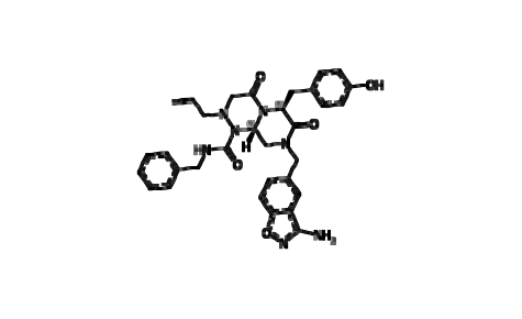 C=CCN1CC(=O)N2[C@@H](Cc3ccc(O)cc3)C(=O)N(Cc3ccc4onc(N)c4c3)C[C@@H]2N1C(=O)NCc1ccccc1